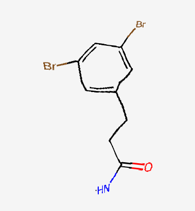 [NH]C(=O)CCc1cc(Br)cc(Br)c1